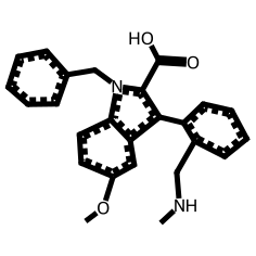 CNCc1ccccc1-c1c(C(=O)O)n(Cc2ccccc2)c2ccc(OC)cc12